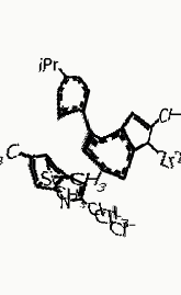 CC1=CC2=C3C(C)=C(C2=N1)[Si]3(C)C.CC1=Cc2c(-c3ccc(C(C)C)cc3)cccc2[CH]1[Zr+2].[Cl-].[Cl-]